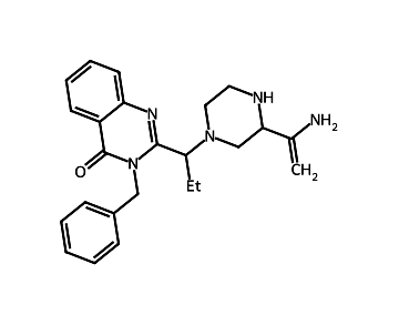 C=C(N)C1CN(C(CC)c2nc3ccccc3c(=O)n2Cc2ccccc2)CCN1